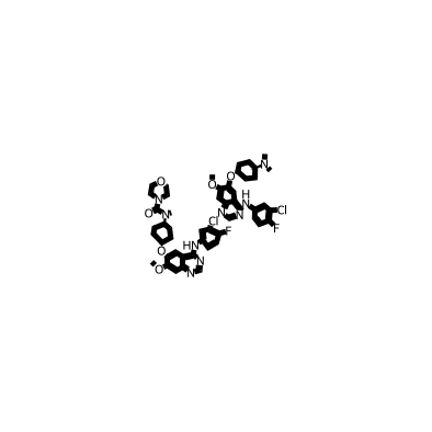 COc1cc2ncnc(Nc3ccc(F)c(Cl)c3)c2cc1O[C@H]1CC[C@H](N(C)C(=O)N2CCOCC2)CC1.COc1cc2ncnc(Nc3ccc(F)c(Cl)c3)c2cc1O[C@H]1CC[C@H](N(C)C)CC1